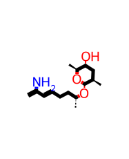 C=C(N)/C=C/CC[C@@H](C)O[C@@H]1O[C@@H](C)[C@H](O)C[C@H]1C